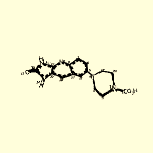 O=C(O)N1CCN(c2ccc3nc4[nH]c(=O)[nH]c4cc3c2)CC1